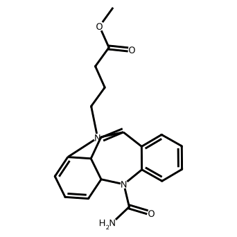 COC(=O)CCCN1C2=CC3C1=CC=CC3N(C(N)=O)c1ccccc12